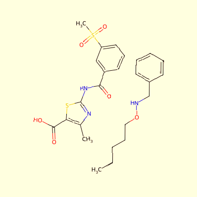 CCCCCONCc1ccccc1.Cc1nc(NC(=O)c2cccc(S(C)(=O)=O)c2)sc1C(=O)O